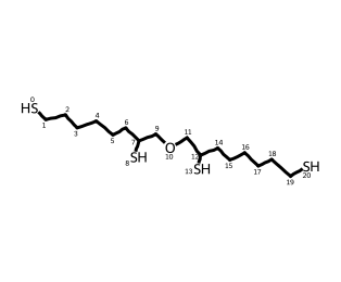 SCCCCCCC(S)COCC(S)CCCCCCS